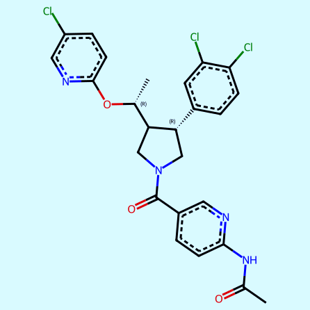 CC(=O)Nc1ccc(C(=O)N2CC([C@@H](C)Oc3ccc(Cl)cn3)[C@H](c3ccc(Cl)c(Cl)c3)C2)cn1